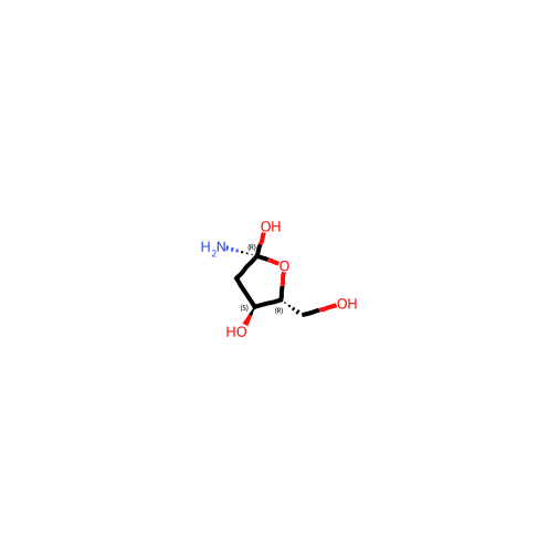 N[C@@]1(O)C[C@H](O)[C@@H](CO)O1